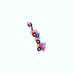 COc1c(OCCCN2CCOCC2)ccc2c(Oc3ccc(NS(=O)(=O)c4ccccc4[N+](=O)[O-])cc3F)ccnc12